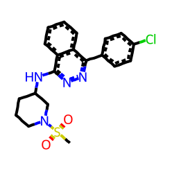 CS(=O)(=O)N1CCCC(Nc2nnc(-c3ccc(Cl)cc3)c3ccccc23)C1